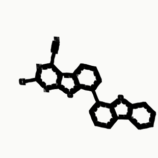 N#Cc1nc(Cl)nc2oc3c(-c4cccc5c4oc4ccccc45)cccc3c12